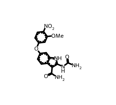 COc1cc(Oc2ccc3c(C(N)=O)c(NC(N)=O)[nH]c3c2)ccc1[N+](=O)[O-]